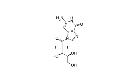 Nc1nc2c(ncn2C(=O)C(F)(F)[C@H](O)[C@@H](O)CO)c(=O)[nH]1